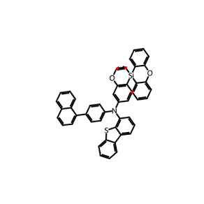 c1ccc2c(c1)Oc1ccccc1[Si]21c2ccccc2Oc2cc(N(c3ccc(-c4cccc5ccccc45)cc3)c3cccc4c3sc3ccccc34)ccc21